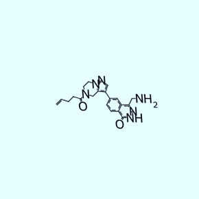 C=CCCC(=O)N1CCn2ncc(-c3ccc4c(=O)[nH]nc(CN)c4c3)c2C1